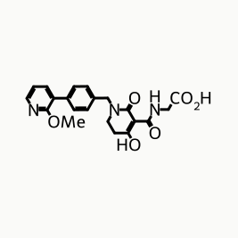 COc1ncccc1-c1ccc(CN2CCC(O)=C(C(=O)NCC(=O)O)C2=O)cc1